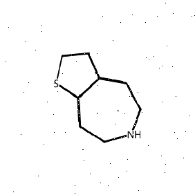 C1CC2CCSC2CCN1